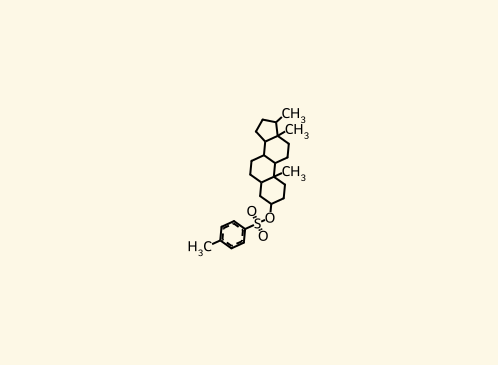 Cc1ccc(S(=O)(=O)OC2CCC3(C)C(CCC4C5CCC(C)C5(C)CCC43)C2)cc1